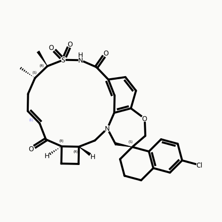 C[C@@H]1[C@@H](C)C/C=C/C(=O)[C@@H]2CC[C@H]2CN2C[C@@]3(CCCc4cc(Cl)ccc43)COc3ccc(cc32)C(=O)NS1(=O)=O